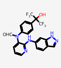 O=CN(c1ccc(C(O)(C(F)(F)F)C(F)(F)F)cc1)c1cccnc1Nc1ccc2cn[nH]c2c1